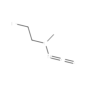 O=C=NP(I)CCO